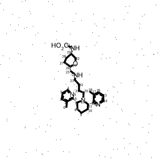 Cc1cccnc1[C@H]1CCC[C@@H](c2ncccc2C)N1CCCCNC[C@@H]1CC[C@@H](NC(=O)O)CO1